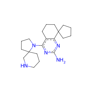 Nc1nc(N2CCCC23CCCNC3)c2c(n1)C1(CCCC1)CCC2